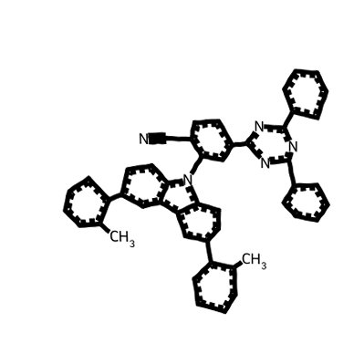 Cc1ccccc1-c1ccc2c(c1)c1cc(-c3ccccc3C)ccc1n2-c1cc(-c2nc(-c3ccccc3)nc(-c3ccccc3)n2)ccc1C#N